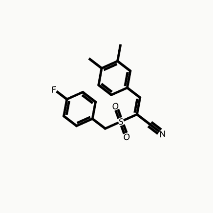 Cc1ccc(C=C(C#N)S(=O)(=O)Cc2ccc(F)cc2)cc1C